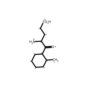 CC1CCCCC1C(=O)C(N)CCC(=O)O